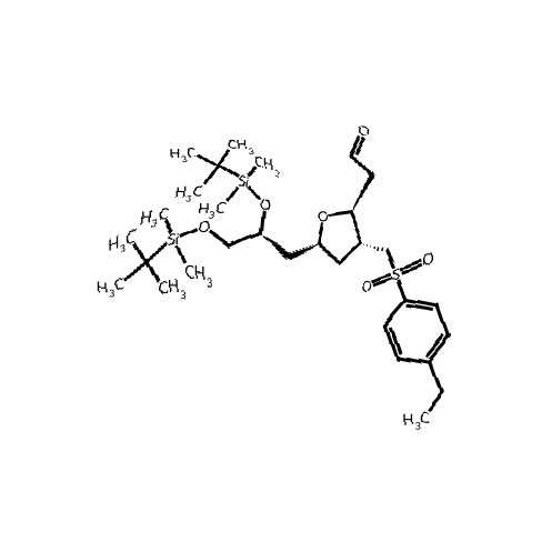 CCc1ccc(S(=O)(=O)C[C@@H]2C[C@@H](C[C@@H](CO[Si](C)(C)C(C)(C)C)O[Si](C)(C)C(C)(C)C)O[C@H]2CC=O)cc1